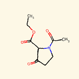 CCOC(=O)C1C(=O)CCN1C(C)=O